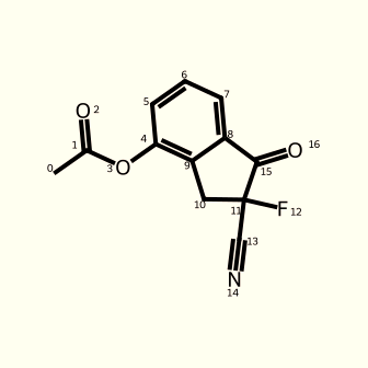 CC(=O)Oc1cccc2c1CC(F)(C#N)C2=O